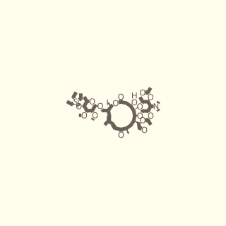 CC[Si](CC)(CC)O[C@@H]1C(C)O[C@@H](OCC2/C=C(C)/C=C/C(=O)[C@H](C)C[C@H](CC=O)[C@H](OC3OC(C)[C@@H](OC(C)=O)C(N(C)C)C3OC(C)=O)[C@@H](C)[C@H](O)CC(=O)O[C@@H]2I)C(OC)C1OC